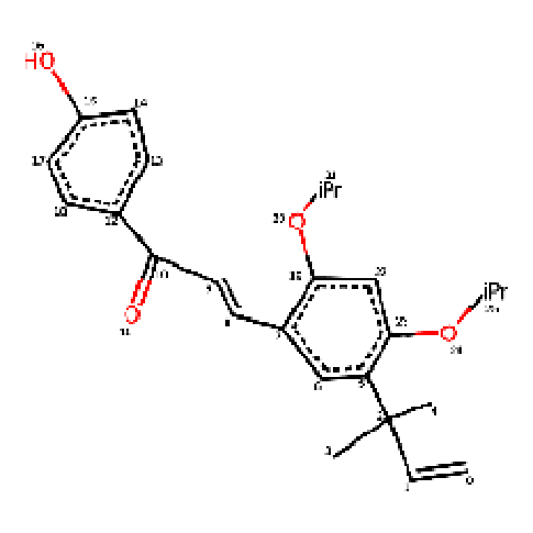 C=CC(C)(C)c1cc(C=CC(=O)c2ccc(O)cc2)c(OC(C)C)cc1OC(C)C